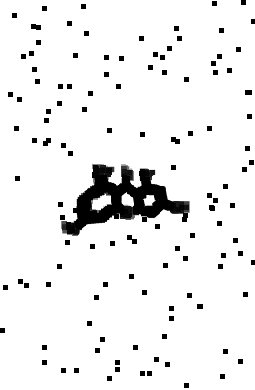 CCC(c1c(Br)cc(O)cc1Br)c1c(Br)cc(O)cc1Br